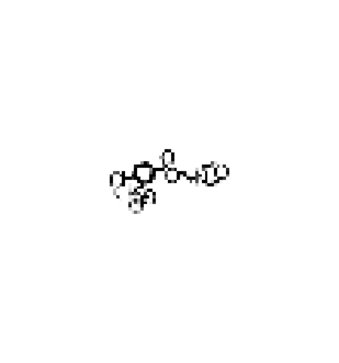 O=C(OCCN1CCOCC1)c1ccc(Cl)c(S(=O)(=O)Cl)c1